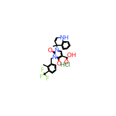 Cc1c(Cn2c(=O)c(C(=O)O)cn(C3(C)C=CNc4ccccc43)c2=O)cccc1C(F)(F)F.Cl